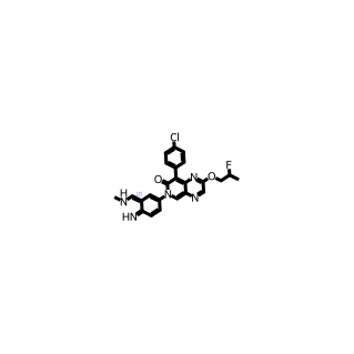 CN/C=C1/C=C(n2cc3ncc(OCC(C)F)nc3c(-c3ccc(Cl)cc3)c2=O)C=CC1=N